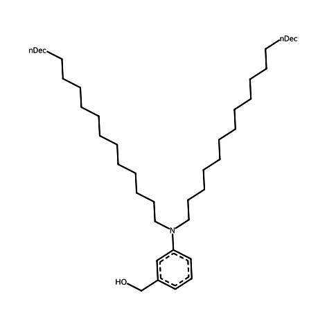 CCCCCCCCCCCCCCCCCCCCCCN(CCCCCCCCCCCCCCCCCCCCCC)c1cccc(CO)c1